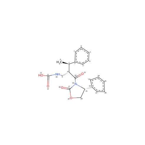 C[C@@H](c1ccccc1)[C@@H](CNC(=O)O)C(=O)N1C(=O)OC[C@H]1c1ccccc1